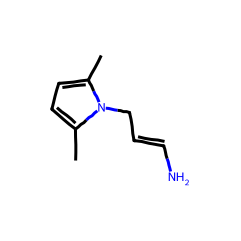 Cc1ccc(C)n1CC=CN